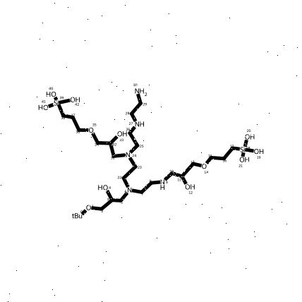 CC(C)(C)OCC(O)CN(CCNCC(O)COCCC[Si](O)(O)O)CCN(CCNCCN)CC(O)COCCC[Si](O)(O)O